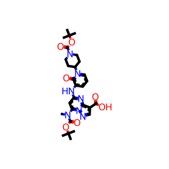 CN(C(=O)OC(C)(C)C)c1cc(Nc2cccn(C3CCN(C(=O)OC(C)(C)C)CC3)c2=O)nc2c(C(=O)O)cnn12